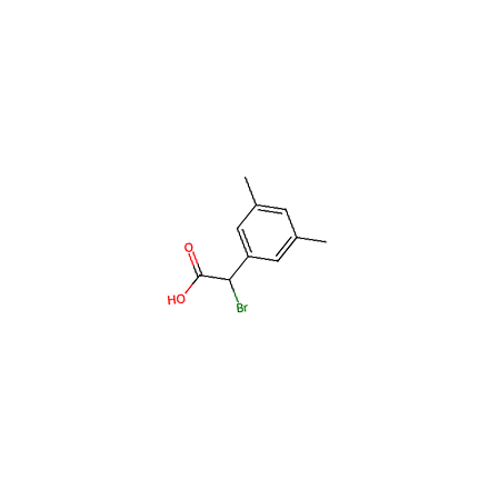 Cc1cc(C)cc(C(Br)C(=O)O)c1